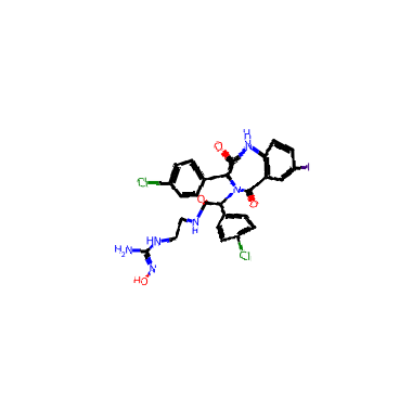 NC(=NO)NCCNC(=O)C(c1ccc(Cl)cc1)N1C(=O)c2cc(I)ccc2NC(=O)C1c1ccc(Cl)cc1